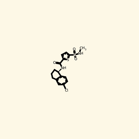 CNS(=O)(=O)c1ccc(C(=O)N[C@@H]2CCCc3cc(Cl)ccc32)s1